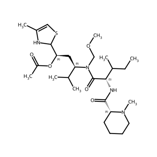 CCC(C)[C@H](NC(=O)[C@H]1CCCCN1C)C(=O)N(COC)[C@H](C[C@@H](OC(C)=O)C1NC(C)=CS1)C(C)C